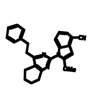 COc1cc2c(C#N)cccc2n1-c1nc2c(c(CCc3ccccc3)n1)CCCC2